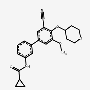 COc1cc(-c2cccc(NC(=O)C3CC3)c2)cc(C#N)c1OC1CCOCC1